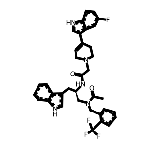 CC(=O)N(Cc1ccccc1C(F)(F)F)C[C@@H](Cc1c[nH]c2ccccc12)NC(=O)CN1CC=C(c2c[nH]c3ccc(F)cc23)CC1